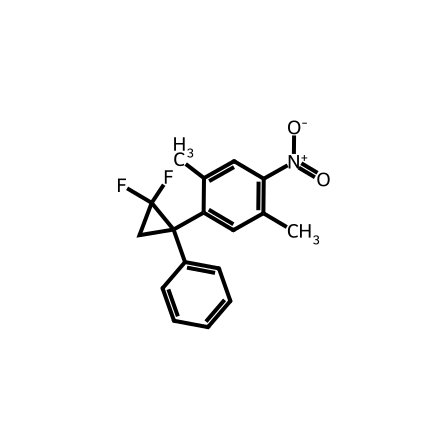 Cc1cc(C2(c3ccccc3)CC2(F)F)c(C)cc1[N+](=O)[O-]